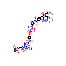 CCCN(CCC)C(=O)C1=Cc2ccc(C(=O)Nc3cncc(CNC(=O)CNC(=O)OCc4ccc(NC(=O)CNC(=O)C(NC(=O)CCCCCN5C(=O)C=CC5=O)C(C)C)cc4)c3)cc2N=C(N)C1